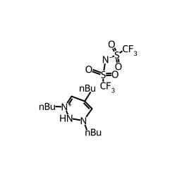 CCCCC1=CN(CCCC)N[N+](CCCC)=C1.O=S(=O)([N-]S(=O)(=O)C(F)(F)F)C(F)(F)F